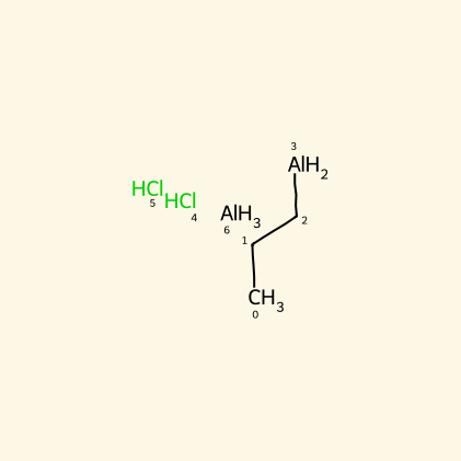 CC[CH2][AlH2].Cl.Cl.[AlH3]